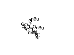 CCCCOC[C@@H](OS(C)(=O)=O)[C@@H](OCCCC)C(CN=[N+]=[N-])OCCCC